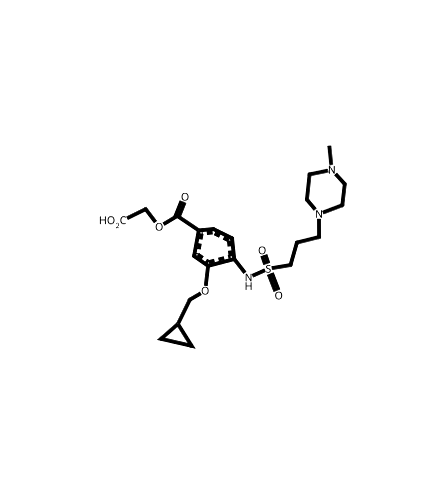 CN1CCN(CCCS(=O)(=O)Nc2ccc(C(=O)OCC(=O)O)cc2OCC2CC2)CC1